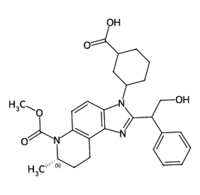 COC(=O)N1c2ccc3c(nc(C(CO)c4ccccc4)n3C3CCCC(C(=O)O)C3)c2CC[C@@H]1C